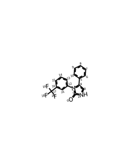 O=c1[nH]cc(-c2ccccc2)n1-c1cccc(C(F)(F)F)c1